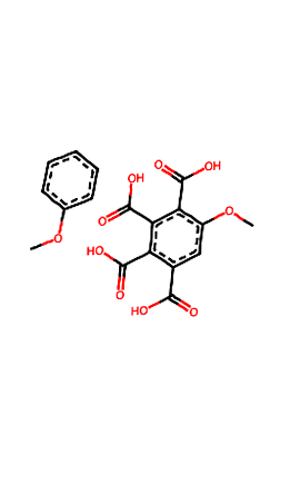 COc1cc(C(=O)O)c(C(=O)O)c(C(=O)O)c1C(=O)O.COc1ccccc1